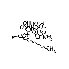 CC(C)(C)C(=O)C(Oc1ccccc1C(N)=O)C(=O)Nc1cc(C(=O)O)cc(C(=O)O)c1.CCCCCCCCCCCCCCCC1CC1